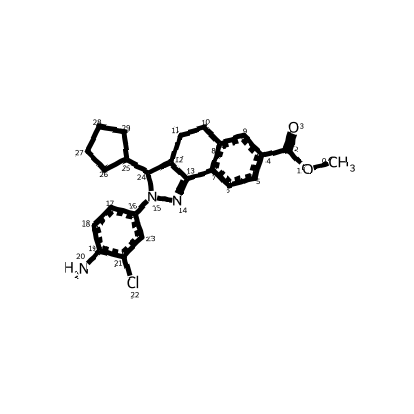 COC(=O)c1ccc2c(c1)CCC1C2=NN(c2ccc(N)c(Cl)c2)C1C1CCCC1